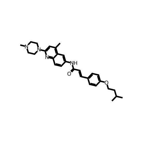 Cc1cc(N2CCN(C)CC2)nc2ccc(NC(=O)/C=C/c3ccc(OCCC(C)C)cc3)cc12